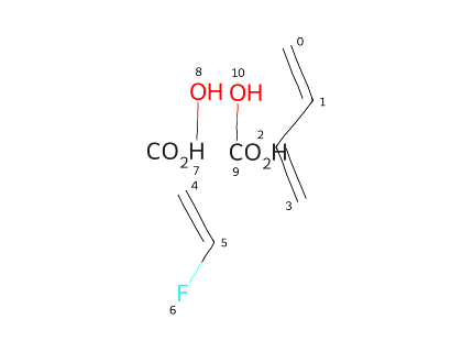 C=CC=C.C=CF.O=C(O)O.O=C(O)O